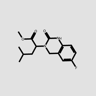 COC(=O)C(CC(C)C)N1Cc2cc(F)ccc2NC1=O